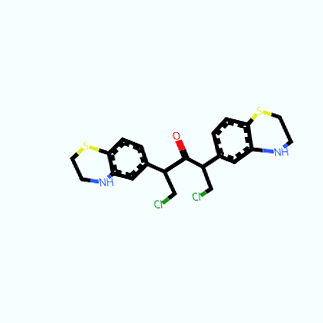 O=C(C(CCl)c1ccc2c(c1)NCCS2)C(CCl)c1ccc2c(c1)NCCS2